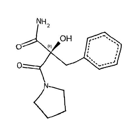 NC(=O)[C@](O)(Cc1ccccc1)C(=O)N1CCCC1